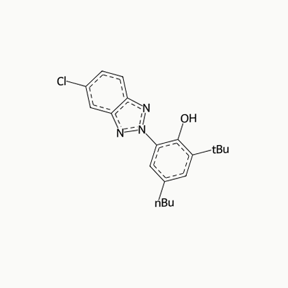 CCCCc1cc(-n2nc3ccc(Cl)cc3n2)c(O)c(C(C)(C)C)c1